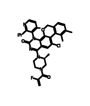 C=C(F)C(=O)N1CCN(c2nc(=O)n(-c3c(C)ccnc3C(C)C)c3c4c(c(Cl)cc23)-c2c(ccc(C)c2C)CO4)[C@@H](C)C1